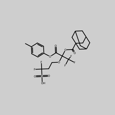 Cc1ccc(OC(=O)C(OCCC(F)(F)S(=O)(=O)O)(OC(=O)C23CC4CC(CC(C4)C2)C3)C(F)(F)F)cc1